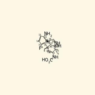 CC1(C)C(NC(=O)O)=N[C@](C)(c2nc(N)ccc2F)[C@H]2CCNS21O